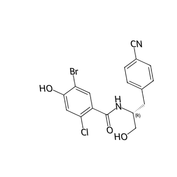 N#Cc1ccc(C[C@H](CO)NC(=O)c2cc(Br)c(O)cc2Cl)cc1